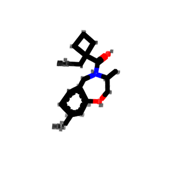 COCC1(C(=O)N2Cc3ccc(C(=O)O)cc3OCC2C)CCC1